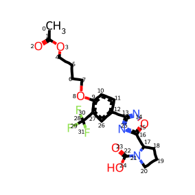 CC(=O)OCCCCOc1ccc(-c2noc(C3CCCN3C(=O)O)n2)cc1C(F)(F)F